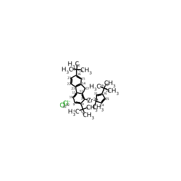 C[C]1([Zr+2][c]2c(C(C)(C)C)ccc3c2Cc2cc(C(C)(C)C)ccc2-3)C=CC(C(C)(C)C)=C1.[Cl-].[Cl-]